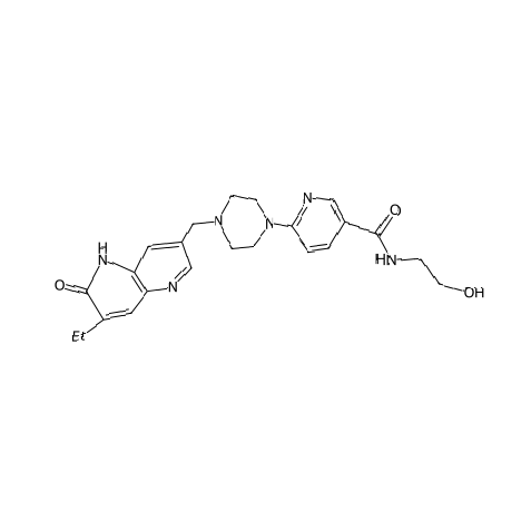 CCc1cc2ncc(CN3CCN(c4ccc(C(=O)NCCO)cn4)CC3)cc2[nH]c1=O